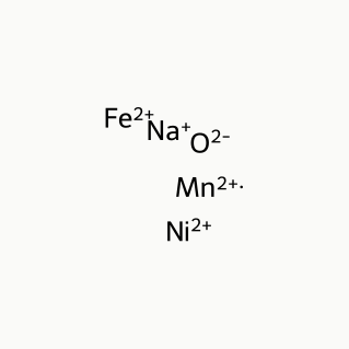 [Fe+2].[Mn+2].[Na+].[Ni+2].[O-2]